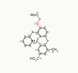 COCOc1ccc(Cc2c(C)cc(C(=O)O)cc2C)cc1Cc1ccccc1